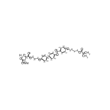 C=C(C)C(=O)OCCCCOc1ccc(C(=O)Oc2ccc(-c3ccc(OCCCOC(=O)C(=C)CC(=O)OC)cc3)cc2)cc1